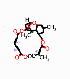 CC1=CC2O[C@H]3CC4OC(=O)/C=C\C=C\C(=O)OCC/C(C)=C/C(=O)OCC(C1)C2[C@@]4(C)C31CO1